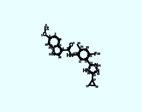 CCOc1ccc2c(C(=O)Nc3cc(-c4nnc(C5CC5)[nH]4)c(F)cc3C)cnn2c1